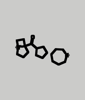 C1CCC[N]CC1.O=C(C1CCCC1)C12CCC[N+]1CC2